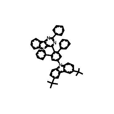 CC(C)(C)c1ccc2c(c1)c1cc(C(C)(C)C)ccc1n2-c1cc(-c2ccccc2)c(-c2nc(-c3ccccc3)nc3c2sc2ccccc23)c(-c2ccccc2)c1